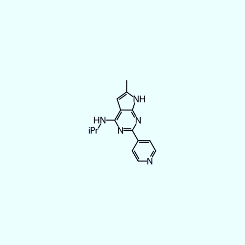 Cc1cc2c(NC(C)C)nc(-c3ccncc3)nc2[nH]1